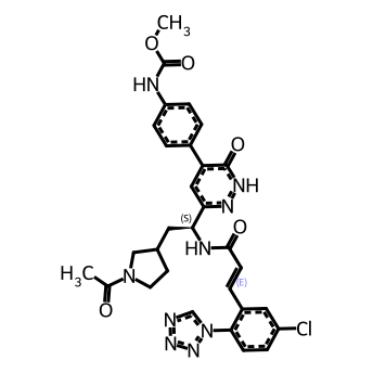 COC(=O)Nc1ccc(-c2cc([C@H](CC3CCN(C(C)=O)C3)NC(=O)/C=C/c3cc(Cl)ccc3-n3cnnn3)n[nH]c2=O)cc1